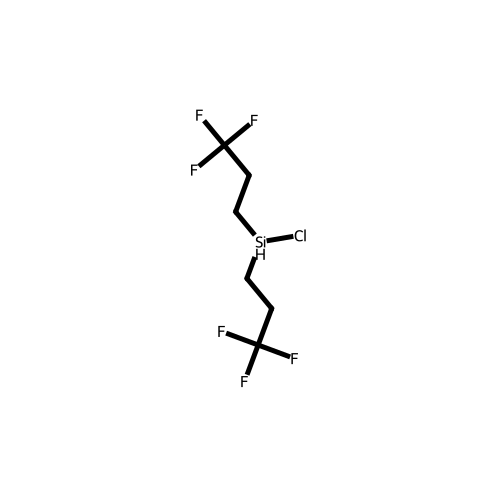 FC(F)(F)CC[SiH](Cl)CCC(F)(F)F